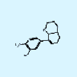 Cc1ncc(C2=CCCC3CCCNC23)cc1C#N